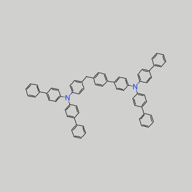 c1ccc(-c2ccc(N(c3ccc(Cc4ccc(-c5ccc(N(c6ccc(-c7ccccc7)cc6)c6ccc(-c7ccccc7)cc6)cc5)cc4)cc3)c3ccc(-c4ccccc4)cc3)cc2)cc1